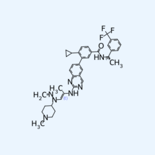 C=NN(/C=C(\C)Nc1ncc2cc(-c3cc(C(=O)N[C@H](C)c4cccc(C(F)(F)F)c4)ccc3C3CC3)ccc2n1)C1CCN(C)CC1